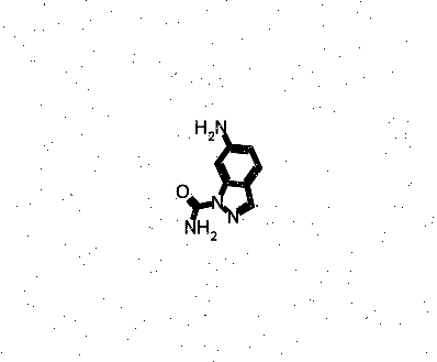 NC(=O)n1n[c]c2ccc(N)cc21